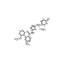 COc1ccccc1-c1cc(C)ncc1C(=O)Nc1nnc(O[C@@H](CO)c2ccc(Cl)cn2)s1